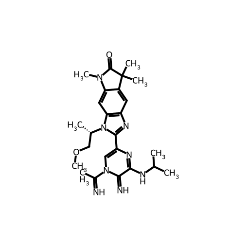 COC[C@H](C)n1c(-c2cn(C(C)=N)c(=N)c(NC(C)C)n2)nc2cc3c(cc21)N(C)C(=O)C3(C)C